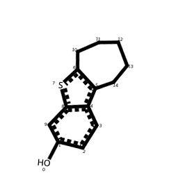 Oc1ccc2c3c(sc2c1)CCCCC3